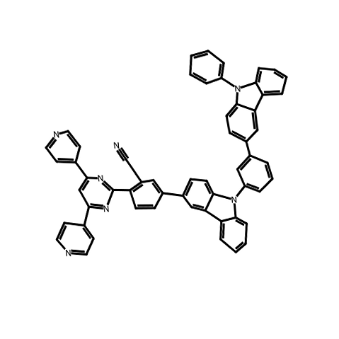 N#Cc1cc(-c2ccc3c(c2)c2ccccc2n3-c2cccc(-c3ccc4c(c3)c3ccccc3n4-c3ccccc3)c2)ccc1-c1nc(-c2ccncc2)cc(-c2ccncc2)n1